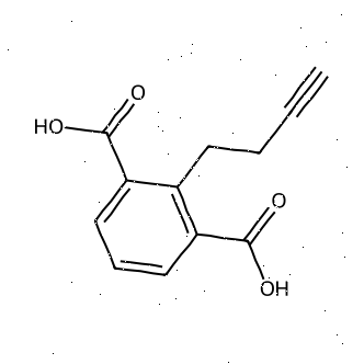 C#CCCc1c(C(=O)O)cccc1C(=O)O